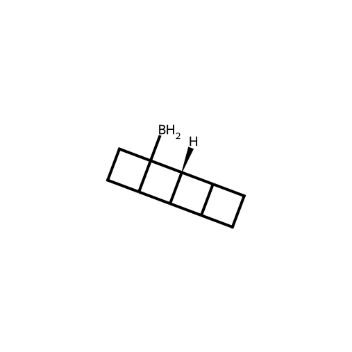 BC12CCC1C1C3CCC3[C@H]12